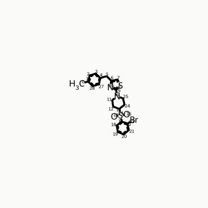 Cc1ccc(Cc2csc(N3CCC(S(=O)(=O)c4ccccc4Br)CC3)n2)cc1